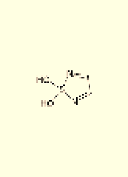 OS1(O)N=CC=N1